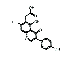 O=C(O)Cc1c(O)cc2occ(-c3ccc(O)cc3)c(=O)c2c1O